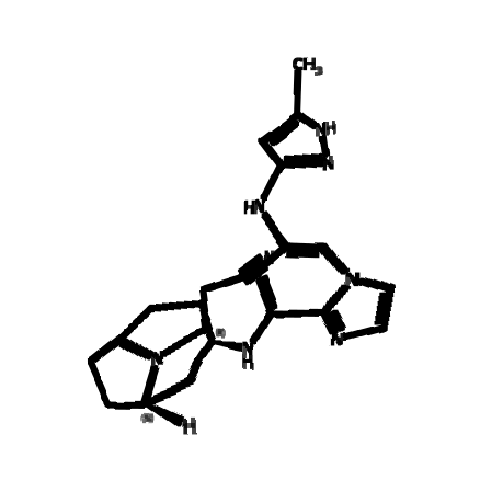 Cc1cc(Nc2cn3ccnc3c(N[C@@H]3CCC4CC[C@@H](C3)N4CCC#N)n2)n[nH]1